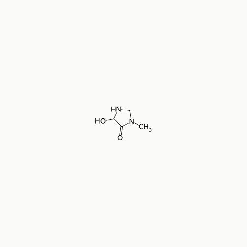 CN1CNC(O)C1=O